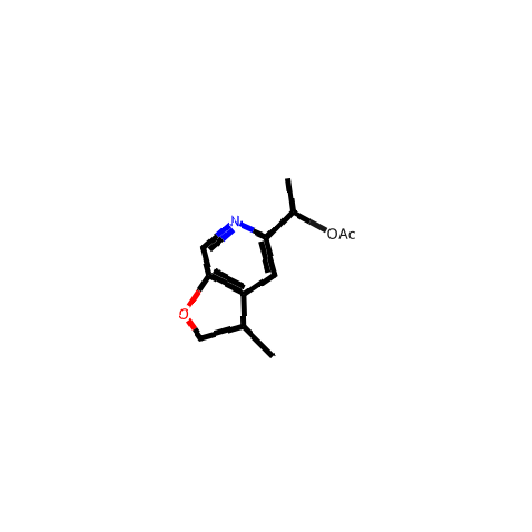 CC(=O)OC(C)c1cc2c(cn1)OCC2C